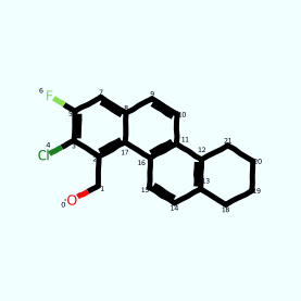 [O]Cc1c(Cl)c(F)cc2ccc3c4c(ccc3c12)CCCC4